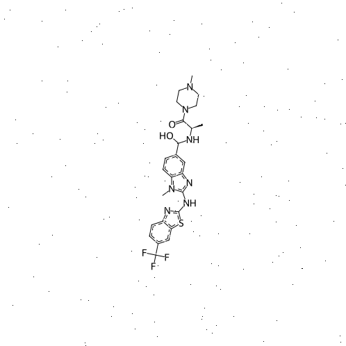 C[C@@H](NC(O)c1ccc2c(c1)nc(Nc1nc3ccc(C(F)(F)F)cc3s1)n2C)C(=O)N1CCN(C)CC1